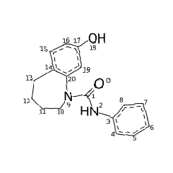 O=C(Nc1ccccc1)N1CCCCc2ccc(O)cc21